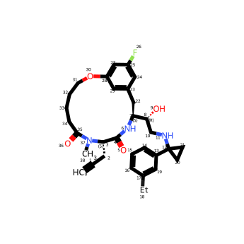 C#CC[C@H]1C(=O)N[C@H]([C@H](O)CNC2(c3cccc(CC)c3)CC2)Cc2cc(F)cc(c2)OCCCCC(=O)N1C